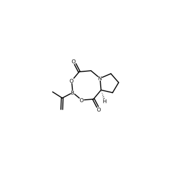 C=C(C)B1OC(=O)CN2CCC[C@H]2C(=O)O1